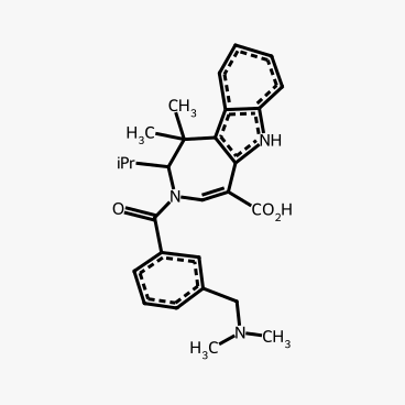 CC(C)C1N(C(=O)c2cccc(CN(C)C)c2)C=C(C(=O)O)c2[nH]c3ccccc3c2C1(C)C